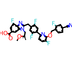 CO[C@H](C)Cn1c(Cc2cc(F)c(-c3ccc(F)c(OCc4ccc(C#N)cc4F)n3)cc2F)nc2c(F)cc(C(=O)O)cc21